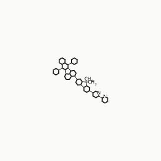 CC1(C)c2cc(-c3ccc(-c4ccccn4)nc3)ccc2-c2ccc(-c3ccc4c5c(cccc35)-c3c-4c(-c4ccccc4)c4ccccc4c3-c3ccccc3)cc21